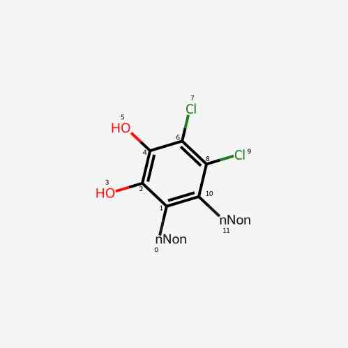 CCCCCCCCCc1c(O)c(O)c(Cl)c(Cl)c1CCCCCCCCC